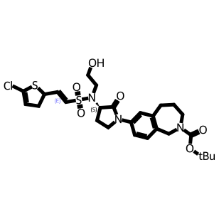 CC(C)(C)OC(=O)N1CCCc2cc(N3CC[C@H](N(CCO)S(=O)(=O)/C=C/C4CC=C(Cl)S4)C3=O)ccc2C1